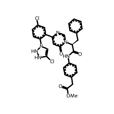 COC(=O)Cc1ccc(NC(=O)[C@H](Cc2ccccc2)n2cnc(-c3cc(Cl)ccc3N3C=C(Cl)NN3)cc2=O)cc1